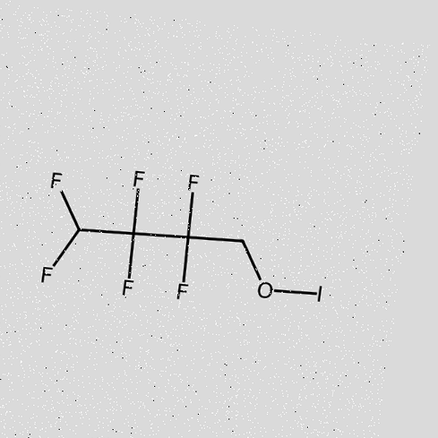 FC(F)C(F)(F)C(F)(F)COI